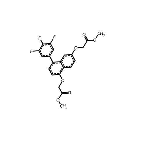 COC(=O)COc1ccc2c(OCC(=O)OC)ccc(-c3cc(F)c(F)c(F)c3)c2c1